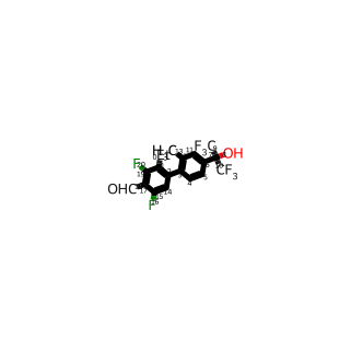 CCc1c(-c2ccc(C(O)(C(F)(F)F)C(F)(F)F)cc2C)cc(F)c(C=O)c1F